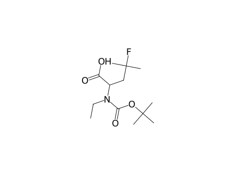 CCN(C(=O)OC(C)(C)C)C(CC(C)(C)F)C(=O)O